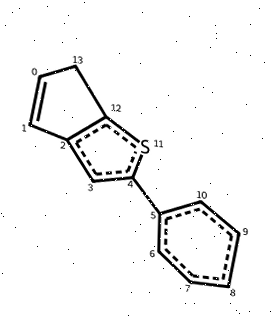 C1=Cc2cc(-c3ccccc3)sc2C1